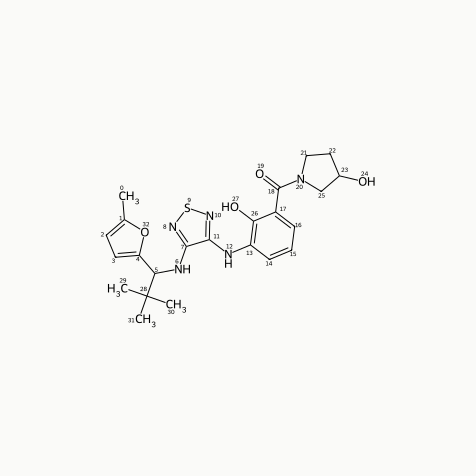 Cc1ccc(C(Nc2nsnc2Nc2cccc(C(=O)N3CCC(O)C3)c2O)C(C)(C)C)o1